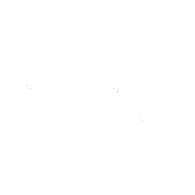 Cc1c(Cc2ccc(Cl)cc2C#N)ncnc1OC(C)C